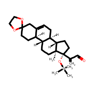 C=C(C=O)[C@]1(O[Si](C)(C)C)CC[C@H]2[C@@H]3CC=C4CC5(CC[C@@H]4[C@H]3CC[C@@]21C)OCCO5